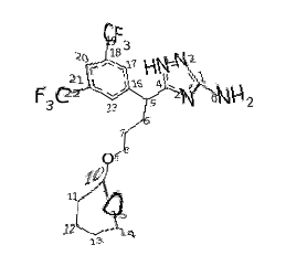 Nc1n[nH]c(C(CCCOC2CCCCO2)c2cc(C(F)(F)F)cc(C(F)(F)F)c2)n1